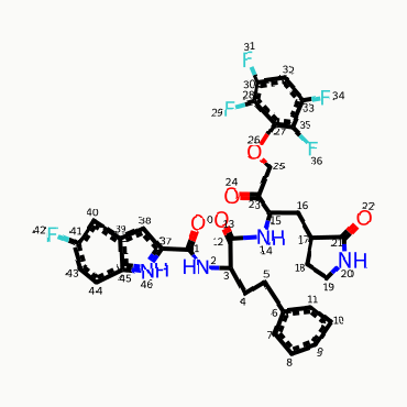 O=C(NC(CCc1ccccc1)C(=O)NC(CC1CCNC1=O)C(=O)COc1c(F)c(F)cc(F)c1F)c1cc2cc(F)ccc2[nH]1